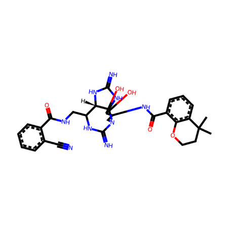 CC1(C)CCOc2c(C(=O)NC3CN4C(=N)NC(CNC(=O)c5ccccc5C#N)[C@@H]5NC(=N)NC54C3(O)O)cccc21